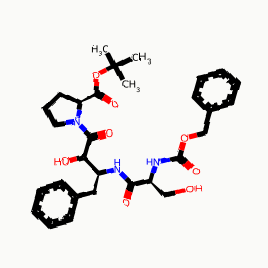 CC(C)(C)OC(=O)[C@@H]1CCCN1C(=O)C(O)[C@H](Cc1ccccc1)NC(=O)[C@H](CO)NC(=O)OCc1ccccc1